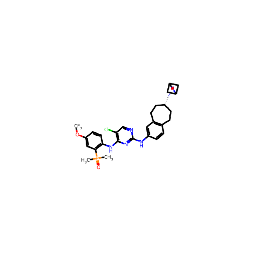 CP(C)(=O)c1cc(OC(F)(F)F)ccc1Nc1nc(Nc2ccc3c(c2)CC[C@H](N2CC4CC2C4)CC3)ncc1Cl